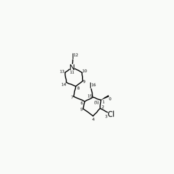 C[C@H]1C(Cl)CCC(CC2CCN(I)CC2)C1I